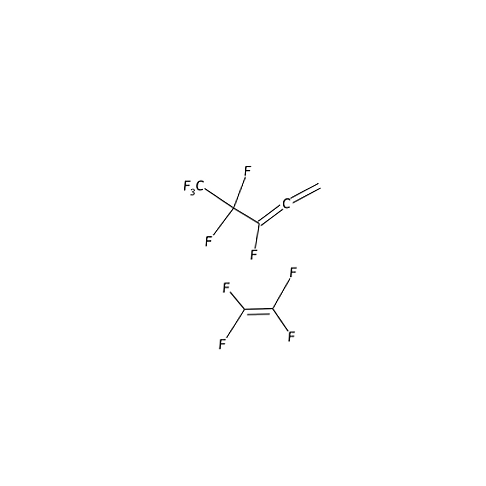 C=C=C(F)C(F)(F)C(F)(F)F.FC(F)=C(F)F